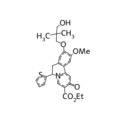 CCOC(=O)c1cn2c(cc1=O)-c1cc(OC)c(OCC(C)(C)CO)cc1CC2c1cccs1